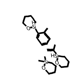 C=C(C)[SiH]1CCCCO1.C[Si]1(C)CCCCO1.Cc1ccccc1[SiH]1CCCCO1